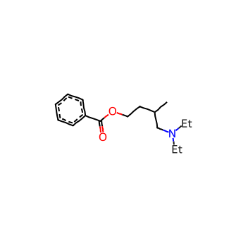 CCN(CC)CC(C)CCOC(=O)c1ccccc1